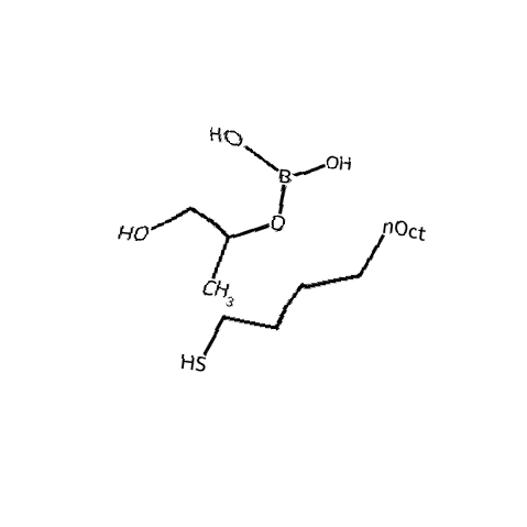 CC(CO)OB(O)O.CCCCCCCCCCCCS